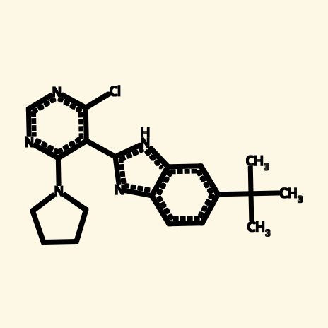 CC(C)(C)c1ccc2nc(-c3c(Cl)ncnc3N3CCCC3)[nH]c2c1